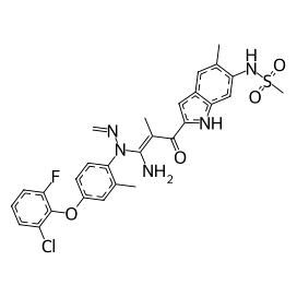 C=NN(/C(N)=C(\C)C(=O)c1cc2cc(C)c(NS(C)(=O)=O)cc2[nH]1)c1ccc(Oc2c(F)cccc2Cl)cc1C